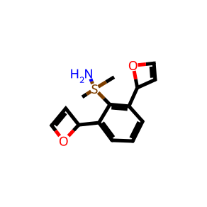 CS(C)(N)c1c(C2C=CO2)cccc1C1C=CO1